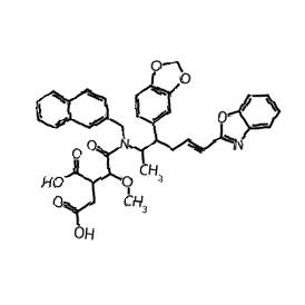 COC(C(=O)N(Cc1ccc2ccccc2c1)C(C)C(CC=Cc1nc2ccccc2o1)c1ccc2c(c1)OCO2)C(CC(=O)O)C(=O)O